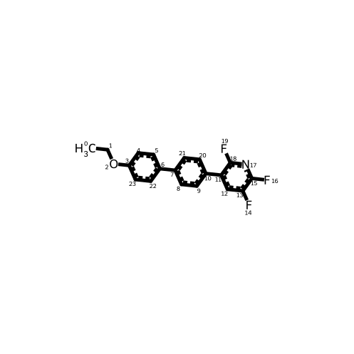 CCOc1ccc(-c2ccc(-c3cc(F)c(F)nc3F)cc2)cc1